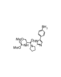 Bc1ccc(-c2cnc([C@@H]3CCCN3C(=O)[C@H](COC)NC(=O)OC)[nH]2)cc1